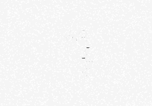 O=C(CCC(=O)[C@@H](O)[C@@H](O)[C@H](O)[C@H](O)CO)OC[C@H]1O[C@H](O[C@]2(CO)O[C@H](CO)[C@@H](O)[C@@H]2O)[C@H](O)[C@@H](O)[C@@H]1O